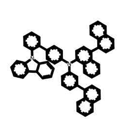 C1=CC2c3ccccc3N(c3ccccc3-c3ccc(N(c4cccc(-c5cccc6ccccc56)c4)c4ccc(-c5cccc6ccccc56)c5ccccc45)cc3)C2C=C1